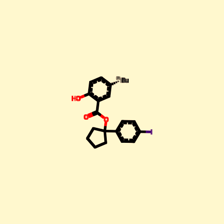 CC[C@@H](C)c1ccc(O)c(C(=O)OC2(c3ccc(I)cc3)CCCC2)c1